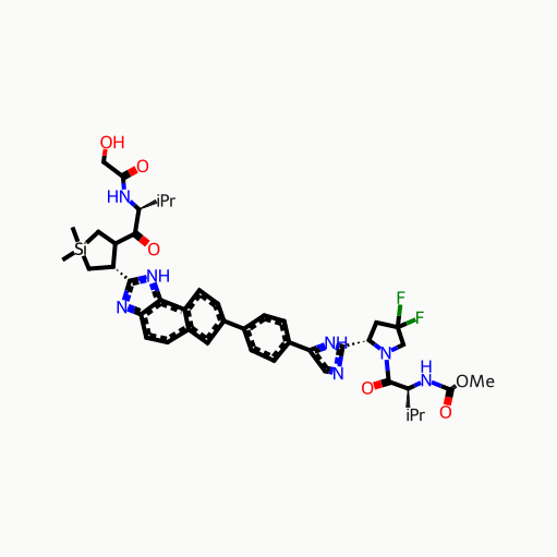 COC(=O)N[C@H](C(=O)N1CC(F)(F)C[C@H]1c1ncc(-c2ccc(-c3ccc4c(ccc5nc([C@@H]6C[Si](C)(C)CC6C(=O)[C@@H](NC(=O)CO)C(C)C)[nH]c54)c3)cc2)[nH]1)C(C)C